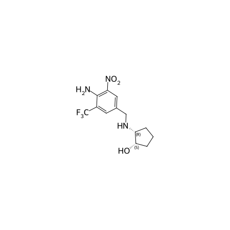 Nc1c([N+](=O)[O-])cc(CN[C@@H]2CCC[C@@H]2O)cc1C(F)(F)F